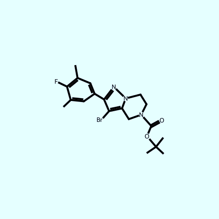 Cc1cc(-c2nn3c(c2Br)CN(C(=O)OC(C)(C)C)CC3)cc(C)c1F